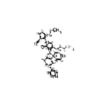 CCCCc1cn(-c2c(C#N)ccn2CCC)c(=O)n1CC1(c2cccc(-c3nnn[nH]3)c2)C=CNC=C1